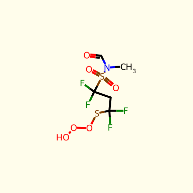 CN(C=O)S(=O)(=O)C(F)(F)CC(F)(F)SOOO